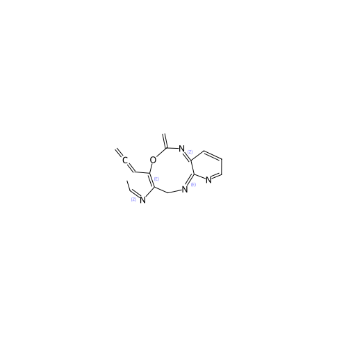 C=C=C/C1=C(\N=C/C)C/N=c2/nccc/c2=N/C(=C)O1